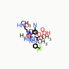 CNC(=O)CCC[N+](C)(C)Cc1cc(C#N)ccc1[C@@H]1C(C(=O)OC)=C(C)N(c2cccc(C(F)(F)F)c2)c2n[nH]c(=O)n21.O=CO